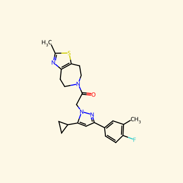 Cc1nc2c(s1)CCN(C(=O)Cn1nc(-c3ccc(F)c(C)c3)cc1C1CC1)CC2